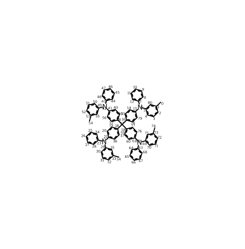 Cc1cccc(N(c2ccccc2)c2ccc(C(c3ccc(N(c4ccccc4)c4cccc(C)c4)cc3)(c3ccc(N(c4ccccc4)c4cccc(C)c4)cc3)c3ccc(N(c4ccccc4)c4cccc(C)c4)cc3)cc2)c1